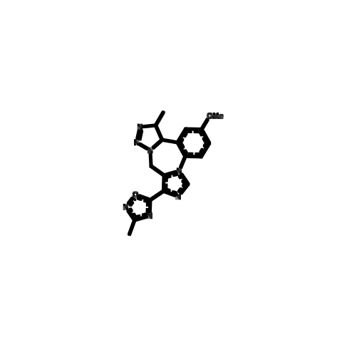 COc1ccc2c(c1)C1C(C)N=NN1Cc1c(-c3nc(C)no3)ncn1-2